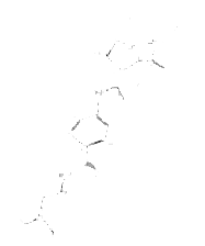 CN(C)CCNC(=O)c1ccc(NC(=O)N2CC[C@@H]3[C@H]2C(=O)N3S(=O)(=O)O)cc1